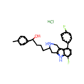 Cc1ccc(C(O)CCCC2Cc3[nH]c4c(F)ccc(-c5ccc(F)cc5)c4c3CN2)cc1.Cl